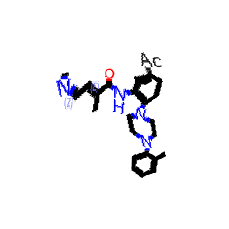 C/N=C\C=C(/C)C(=O)Nc1cc(C(C)=O)ccc1N1CCN(c2ccccc2C)CC1